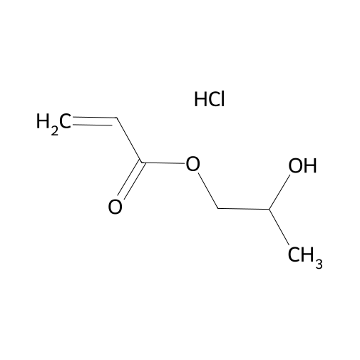 C=CC(=O)OCC(C)O.Cl